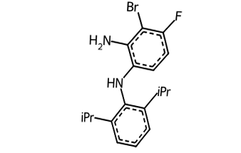 CC(C)c1cccc(C(C)C)c1Nc1ccc(F)c(Br)c1N